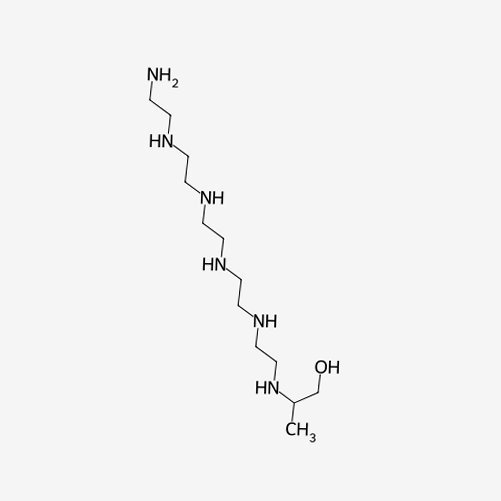 CC(CO)NCCNCCNCCNCCNCCN